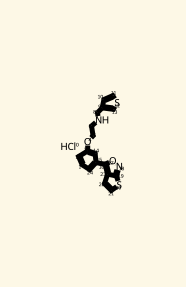 Cl.c1cc(OCCNCc2ccsc2)cc(-c2onc3sccc23)c1